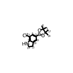 CC1(C)OB(c2cc(Cl)c3c(c2)CCN3)OC1(C)C